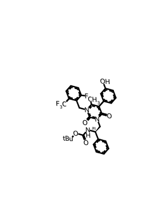 Cc1c(-c2cccc(O)c2)c(=O)n(C[C@H](NC(=O)OC(C)(C)C)c2ccccc2)c(=O)n1Cc1c(F)cccc1C(F)(F)F